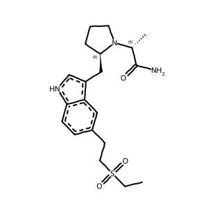 CCS(=O)(=O)CCc1ccc2[nH]cc(C[C@H]3CCCN3[C@H](C)C(N)=O)c2c1